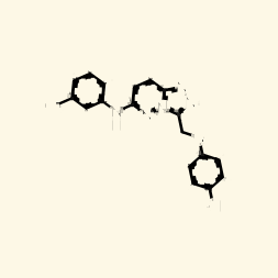 Clc1ccc(OCc2nnc3ccc(Nc4cccc(Cl)c4)nn23)cc1